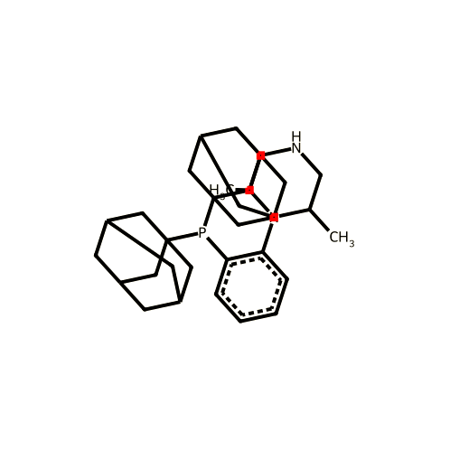 CC1CNCC(C)N1c1ccccc1P(C12CC3CC(CC(C3)C1)C2)C12CC3CC(CC(C3)C1)C2